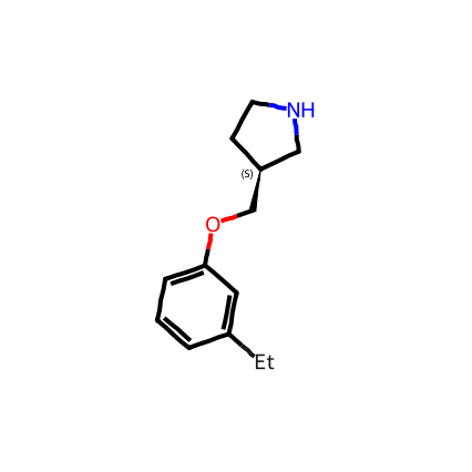 CCc1cccc(OC[C@H]2CCNC2)c1